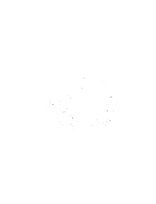 Cc1nc2cc3nn2c(c1[C@H](OC(C)(C)C)C(=O)O)N1CCC(C)(CC1)OCCC=COC(C)(C)c1cn(nn1)C3